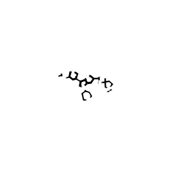 CC1(NC(=O)c2cnc3c(-c4cncc(OC(F)F)c4)cn(C4CCOCC4)c3c2)CCS(=O)(=O)C1